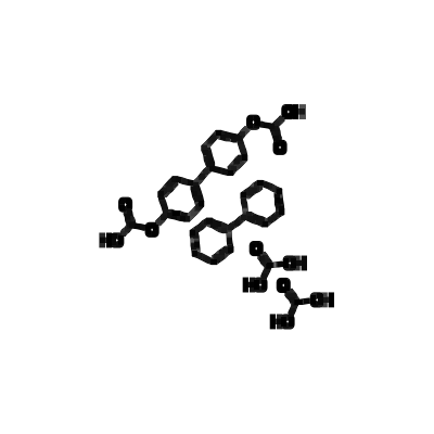 O=C(O)O.O=C(O)O.O=C(O)Oc1ccc(-c2ccc(OC(=O)O)cc2)cc1.c1ccc(-c2ccccc2)cc1